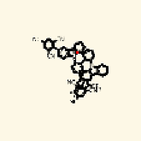 N#Cc1cc(C#N)c(-c2ccc3c(c2)c2ccccc2n3-c2ccc(-c3cc(C(F)(F)F)cc(C(F)(F)F)c3)cc2-c2c(C#N)cccc2-n2c3ccccc3c3cc(-c4c(C#N)cc(C#N)cc4C#N)ccc32)c(C#N)c1